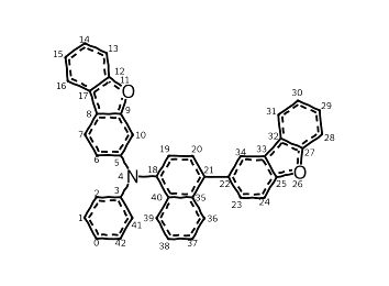 c1ccc(N(c2ccc3c(c2)oc2ccccc23)c2ccc(-c3ccc4oc5ccccc5c4c3)c3ccccc23)cc1